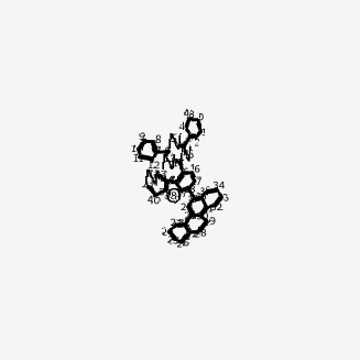 c1ccc(-c2nc(-c3ccccc3)nc(-c3ccc(-c4cc5c6ccccc6ccc5c5ccccc45)c4oc5ccncc5c34)n2)cc1